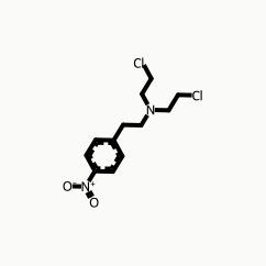 O=[N+]([O-])c1ccc(CCN(CCCl)CCCl)cc1